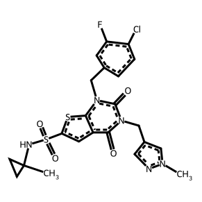 Cn1cc(Cn2c(=O)c3cc(S(=O)(=O)NC4(C)CC4)sc3n(Cc3ccc(Cl)c(F)c3)c2=O)cn1